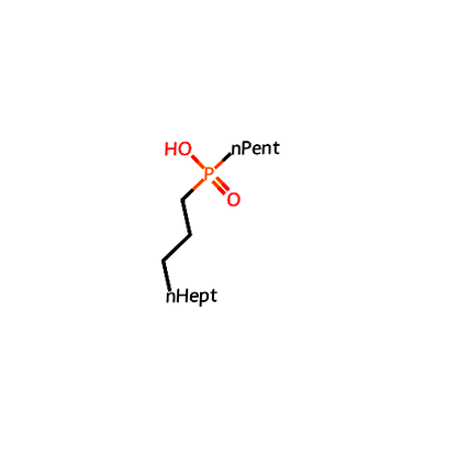 CCCCCCCCCCP(=O)(O)CCCCC